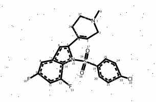 CN1CC=C(c2cc3cc(F)cc(F)c3n2S(=O)(=O)c2ccc(Cl)cc2)CC1